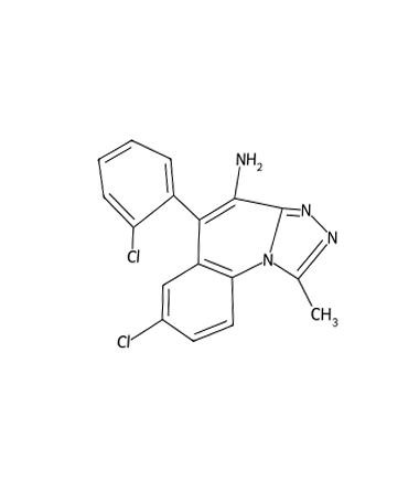 Cc1nnc2c(N)c(-c3ccccc3Cl)c3cc(Cl)ccc3n12